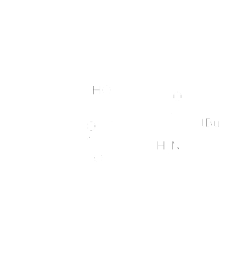 CC(C)(C)C(N)C(=O)c1ccc(OC(=O)C2CCCCCC2)c(O)c1